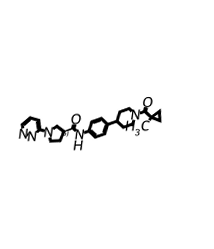 CC1(C(=O)N2CCC(c3ccc(NC(=O)[C@H]4CCN(c5cccnn5)C4)cc3)CC2)CC1